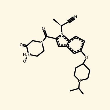 CC(C)N1CCC(Oc2ccc3c(c2)cc(C(=O)N2CC[SH2+]([O-])C(=O)C2)n3[C@@H](C)C#N)CC1